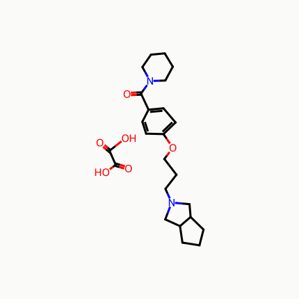 O=C(O)C(=O)O.O=C(c1ccc(OCCCN2CC3CCCC3C2)cc1)N1CCCCC1